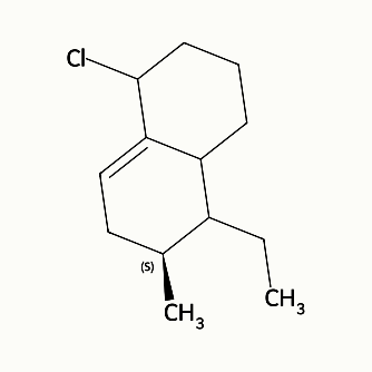 CCC1C2CCCC(Cl)C2=CC[C@@H]1C